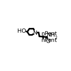 CCCCCC(CCCCC)(CCN1CCC(O)CC1)C(N)=O